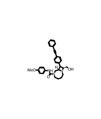 COc1ccc(NC(=O)N2CCCCN3[C@H](CO)C(c4ccc(C#Cc5ccccc5)cc4)[C@@H]3C2)cc1